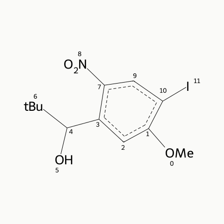 COc1cc(C(O)C(C)(C)C)c([N+](=O)[O-])cc1I